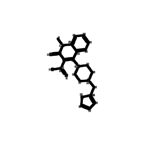 Cn1c(=O)c([N+](=O)[O-])c(N2CCN(Cc3ccco3)CC2)c2ccccc21